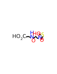 O=C(O)CCCNC(=O)CCN1C(=O)CSC1O